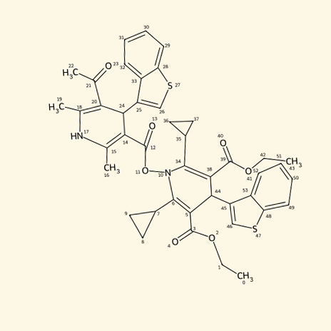 CCOC(=O)C1=C(C2CC2)N(OC(=O)C2=C(C)NC(C)=C(C(C)=O)C2c2csc3ccccc23)C(C2CC2)=C(C(=O)OCC)C1c1csc2ccccc12